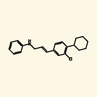 Clc1cc(C=CCNc2ccccc2)ccc1C1CCCCC1